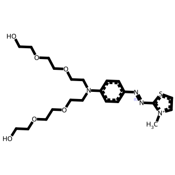 C[n+]1ccsc1/N=N/c1ccc(N(CCOCCOCCO)CCOCCOCCO)cc1